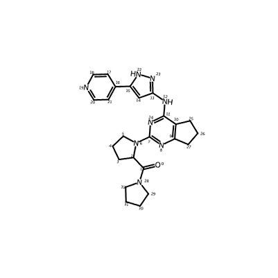 O=C(C1CCCN1c1nc2c(c(Nc3cc(-c4ccncc4)[nH]n3)n1)CCC2)N1CCCC1